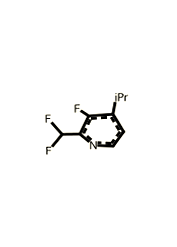 CC(C)c1ccnc(C(F)F)c1F